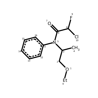 CCOCC(C)N(C(=O)C(F)Cl)c1ccccc1